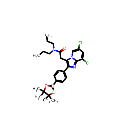 CCCN(CCC)C(=O)Cc1c(-c2ccc(B3OC(C)(C)C(C)(C)O3)cc2)nc2c(Cl)cc(Cl)cn12